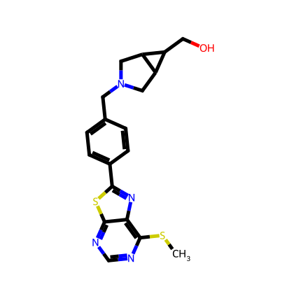 CSc1ncnc2sc(-c3ccc(CN4CC5C(CO)C5C4)cc3)nc12